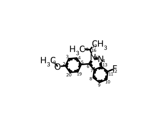 COc1ccc(-c2c3cccc(F)c3nn2C(C)C)cc1